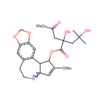 COC(=O)CC(O)(CC(C)(C)O)C(=O)OC1C(OC)=CC23CCCN2CCc2cc4c(cc2C13)OCO4